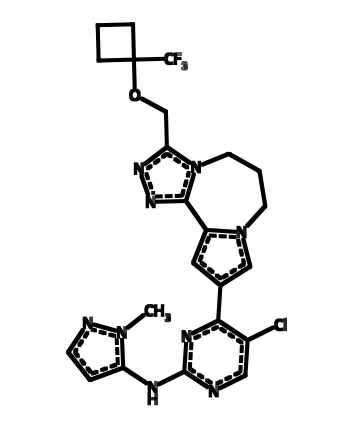 Cn1nccc1Nc1ncc(Cl)c(-c2cc3n(c2)CCCn2c(COC4(C(F)(F)F)CCC4)nnc2-3)n1